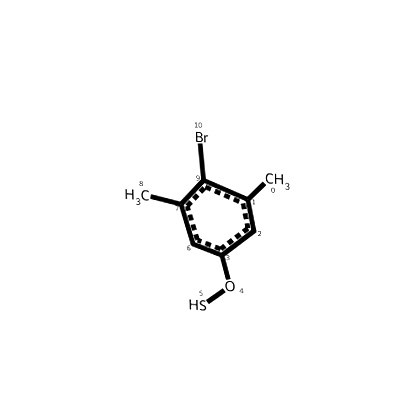 Cc1cc(OS)cc(C)c1Br